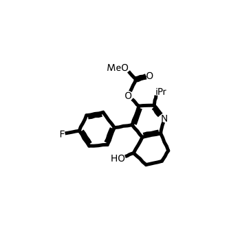 COC(=O)Oc1c(C(C)C)nc2c(c1-c1ccc(F)cc1)C(O)CCC2